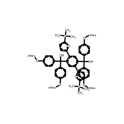 CCCCCCOc1ccc(C(O)(c2ccc(OCCCCCC)cc2)c2cc(-c3ccc([Si](C)(C)C)s3)c(C(O)(c3ccc(OCCCCCC)cc3)c3ccc(OCCCCCC)cc3)cc2-c2ccc([Si](C)(C)C)s2)cc1